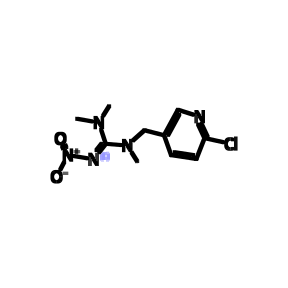 CN(C)/C(=N\[N+](=O)[O-])N(C)Cc1ccc(Cl)nc1